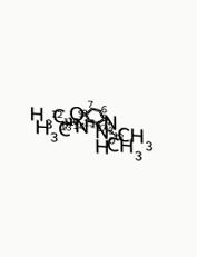 CC(C)c1nc2ccc3oc(C(C)C)nc3c2[nH]1